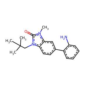 Cn1c(=O)n(CC(C)(C)C)c2ccc(-c3ccccc3N)cc21